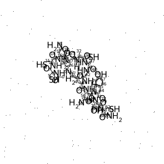 CC(=O)N[C@@H](CS)C(=O)N[C@@H](CS)C(=O)N[C@@H](CC(N)=O)C(=O)N1CCC[C@H]1C(=O)N[C@@H](C)C(=O)N[C@@H](CS)C(=O)NCC(=O)N[C@@H](CCCCN)C(=O)N[C@@H](CC(N)=O)C(=O)N[C@@H](Cc1ccc(O)cc1)C(=O)N[C@@H](CO)C(=O)N[C@@H](CS)C(N)=O